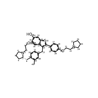 COCCN1CCC[C@H]1Cc1ccc(Cc2c(-c3ccc(OCCN4CCCC4)cc3)sc3cc(O)ccc23)cc1C